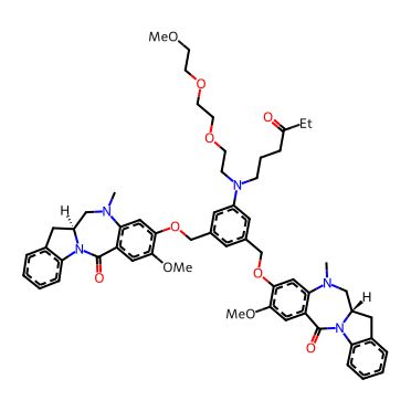 CCC(=O)CCCN(CCOCCOCCOC)c1cc(COc2cc3c(cc2OC)C(=O)N2c4ccccc4C[C@H]2CN3C)cc(COc2cc3c(cc2OC)C(=O)N2c4ccccc4C[C@H]2CN3C)c1